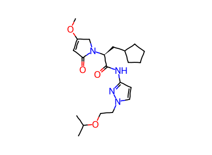 COC1=CC(=O)N([C@@H](CC2CCCC2)C(=O)Nc2ccn(CCOC(C)C)n2)C1